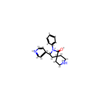 O=C1N(c2ccccc2)C(c2ccncc2)CC12CCNCC2